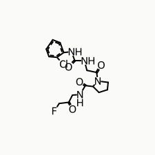 O=C(CF)CNC(=O)C1CCCN1C(=O)CNC(=O)Nc1ccccc1Cl